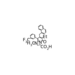 CCc1c(Cc2cccc3ccccc23)c(-c2cccc(C(F)(F)F)c2)c2n(c1=O)C(C(=O)O)CN2C